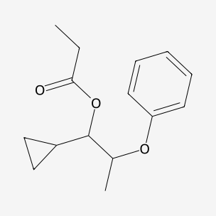 CCC(=O)OC(C1CC1)C(C)Oc1ccccc1